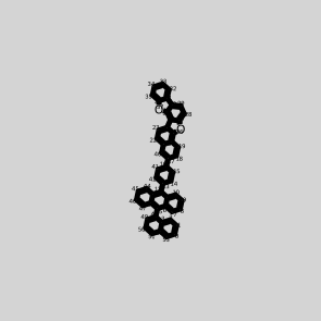 c1ccc2c(-c3c4ccccc4c(-c4ccc(-c5ccc6c(ccc7c6oc6ccc8c9ccccc9oc8c67)c5)cc4)c4ccccc34)cccc2c1